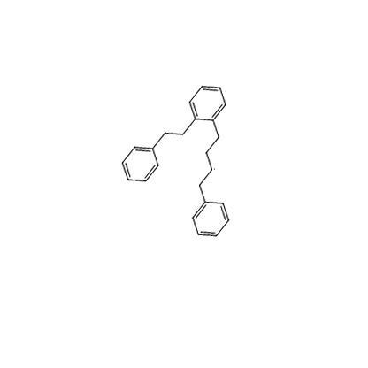 [CH](CCc1ccccc1CCc1ccccc1)Cc1ccccc1